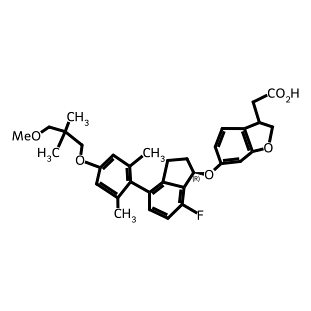 COCC(C)(C)COc1cc(C)c(-c2ccc(F)c3c2CC[C@H]3Oc2ccc3c(c2)OCC3CC(=O)O)c(C)c1